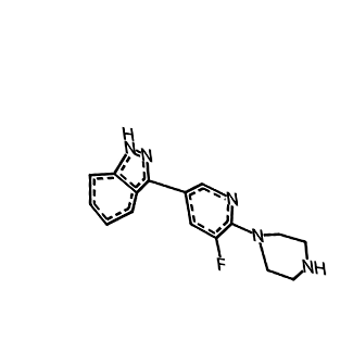 Fc1cc(-c2n[nH]c3ccccc23)cnc1N1CCNCC1